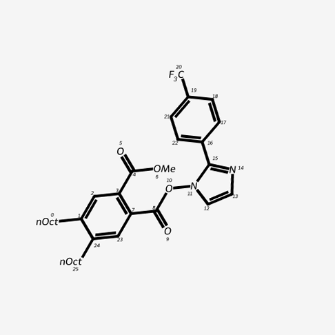 CCCCCCCCc1cc(C(=O)OC)c(C(=O)On2ccnc2-c2ccc(C(F)(F)F)cc2)cc1CCCCCCCC